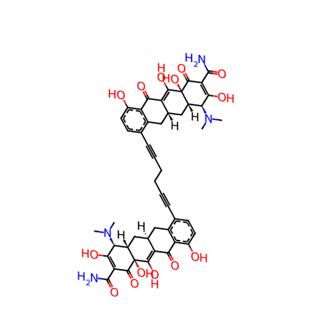 CN(C)[C@@H]1C(O)=C(C(N)=O)C(=O)[C@@]2(O)C(O)=C3C(=O)c4c(O)ccc(C#CCCC#Cc5ccc(O)c6c5C[C@H]5C[C@H]7[C@H](N(C)C)C(O)=C(C(N)=O)C(=O)[C@@]7(O)C(O)=C5C6=O)c4C[C@@H]3C[C@@H]12